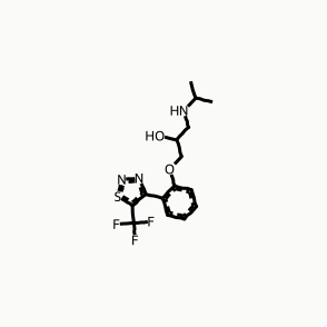 CC(C)NCC(O)COc1ccccc1-c1nnsc1C(F)(F)F